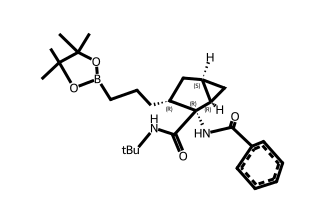 CC(C)(C)NC(=O)[C@@]1(NC(=O)c2ccccc2)[C@H](CCCB2OC(C)(C)C(C)(C)O2)C[C@H]2C[C@H]21